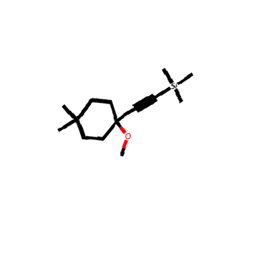 COC1(C#C[Si](C)(C)C)CCC(C)(C)CC1